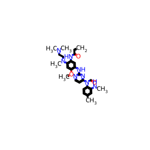 C=CC(=O)Nc1cc(Nc2nccc(N(C=O)c3ccc(C)cc3NC)n2)c(OC)cc1N(C)CCN(C)C